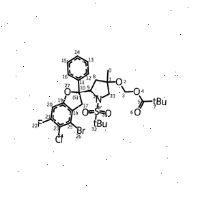 CC1(OCOC(=O)C(C)(C)C)CC([C@@]2(c3ccccc3)Cc3c(cc(F)c(Cl)c3Br)O2)N(S(=O)(=O)C(C)(C)C)C1